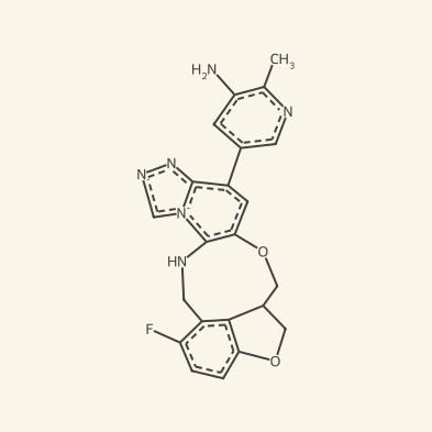 Cc1ncc(-c2cc3c(n4cnnc24)NCc2c(F)ccc4c2C(CO4)CO3)cc1N